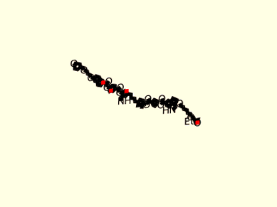 CCC1(COCCCCCCOc2ccc3cc(C(=O)Oc4ccc(C(=O)Oc5ccc(CCCCc6ccc(OC(=O)c7ccc(OC(=O)c8ccc9cc(OCCCOCC%10CCC%11OC%11C%10)ccc9c8)c(C)c7)c(C=N)c6)cc5C)cc4)ccc3c2C=N)COC1